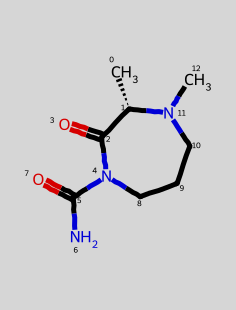 C[C@H]1C(=O)N(C(N)=O)CCCN1C